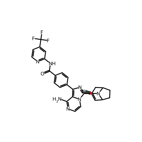 N#CN1C2C=C(c3nc(-c4ccc(C(=O)Nc5cc(C(F)(F)F)ccn5)cc4)c4c(N)nccn34)CC1CC2